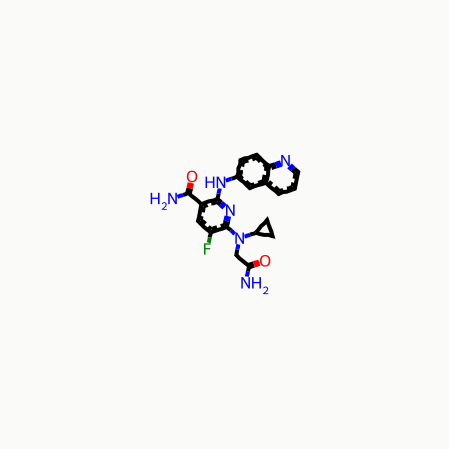 NC(=O)CN(c1nc(Nc2ccc3ncccc3c2)c(C(N)=O)cc1F)C1CC1